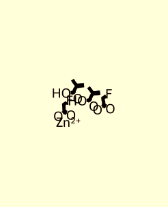 C=C(C)C(=O)O.C=C(C)C(=O)O.O=C([O-])CF.O=C([O-])CF.[Zn+2]